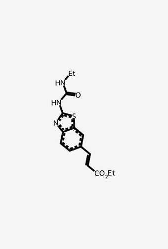 CCNC(=O)Nc1nc2ccc(/C=C/C(=O)OCC)cc2s1